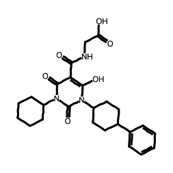 O=C(O)CNC(=O)c1c(O)n(C2CCC(c3ccccc3)CC2)c(=O)n(C2CCCCC2)c1=O